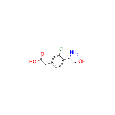 NC(CO)c1ccc(CC(=O)O)cc1Cl